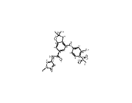 Cn1ncc(NC(=O)c2cc(Oc3ccc(S(C)(=O)=O)c(F)c3)c3c(c2)OC(C)(C)C3)n1